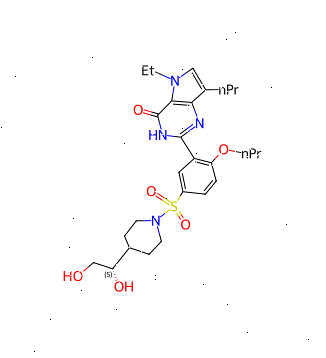 CCCOc1ccc(S(=O)(=O)N2CCC([C@H](O)CO)CC2)cc1-c1nc2c(CCC)cn(CC)c2c(=O)[nH]1